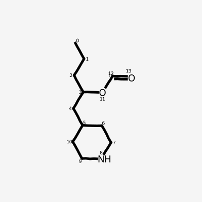 CCCC(CC1CCNCC1)O[C]=O